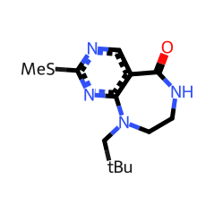 CSc1ncc2c(n1)N(CC(C)(C)C)CCNC2=O